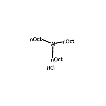 CCCCCCC[CH2][Al]([CH2]CCCCCCC)[CH2]CCCCCCC.Cl